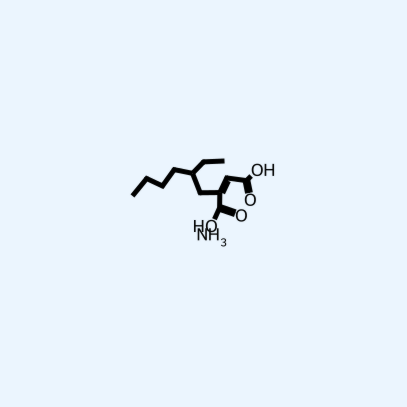 CCCCC(CC)CC(=CC(=O)O)C(=O)O.N